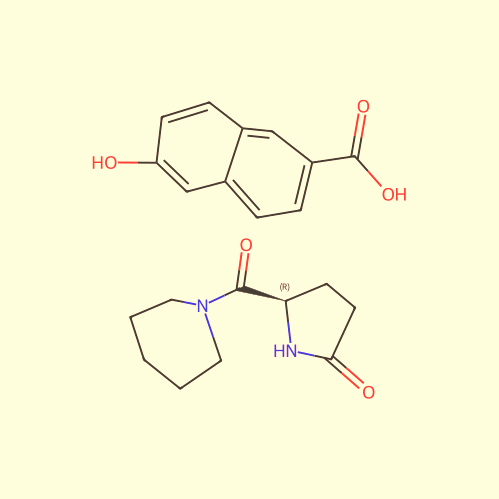 O=C(O)c1ccc2cc(O)ccc2c1.O=C1CC[C@H](C(=O)N2CCCCC2)N1